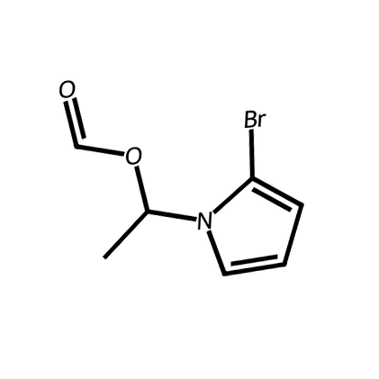 CC(OC=O)n1cccc1Br